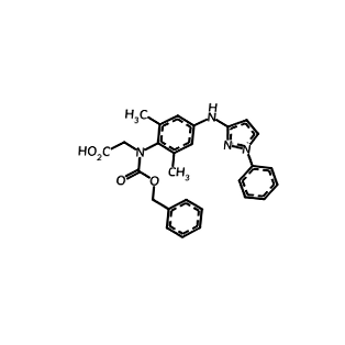 Cc1cc(Nc2ccn(-c3ccccc3)n2)cc(C)c1N(CC(=O)O)C(=O)OCc1ccccc1